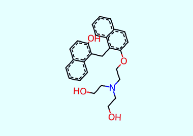 OCCN(CCO)CCOc1ccc2ccccc2c1Cc1c(O)ccc2ccccc12